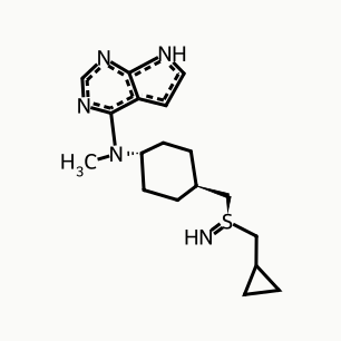 CN(c1ncnc2[nH]ccc12)[C@H]1CC[C@H](C[S@](=N)CC2CC2)CC1